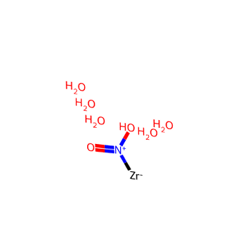 O.O.O.O.O.O=[N+](O)[Zr-]